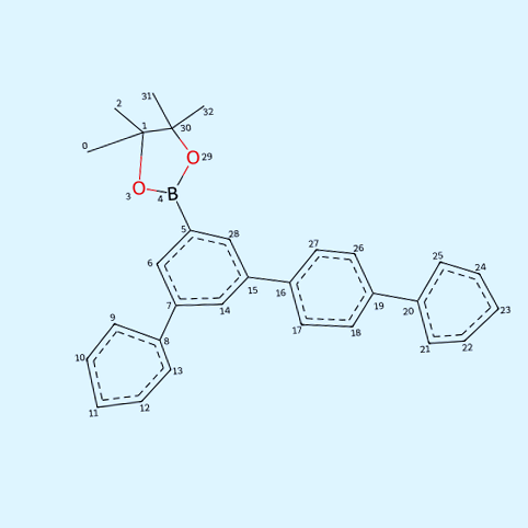 CC1(C)OB(c2cc(-c3ccccc3)cc(-c3ccc(-c4ccccc4)cc3)c2)OC1(C)C